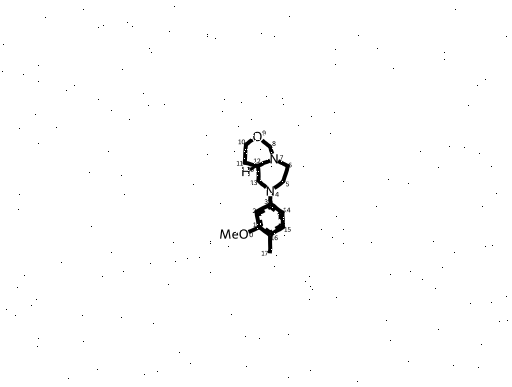 COc1cc(N2CCN3COCC[C@H]3C2)ccc1C